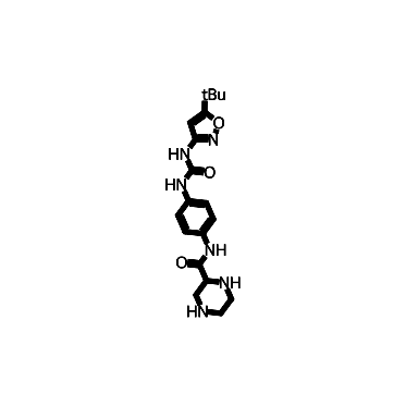 CC(C)(C)c1cc(NC(=O)Nc2ccc(NC(=O)C3CNCCN3)cc2)no1